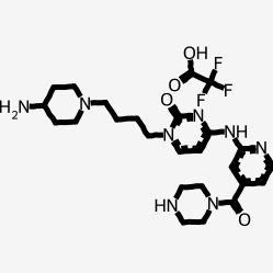 NC1CCN(CCCCn2ccc(Nc3cc(C(=O)N4CCNCC4)ccn3)nc2=O)CC1.O=C(O)C(F)(F)F